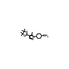 Cc1c(B2OC(C)(C)C(C)(C)O2)cnn1C1CCC(N)CC1